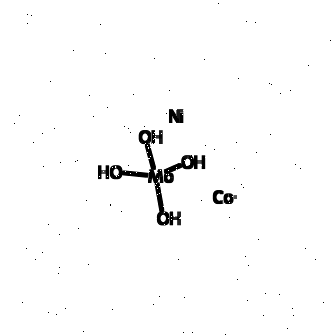 [Co].[Ni].[OH][Mo]([OH])([OH])[OH]